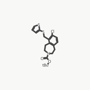 CC(C)(C)OC(=O)N1CCc2ccc(Cl)c(CSc3cccs3)c2CC1